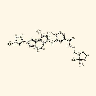 Cc1ncc(C(=O)NCCN2CCCC2(C)C)cc1Nc1nn(C)c2c1cnn1cc(-c3cn(C)nn3)cc21